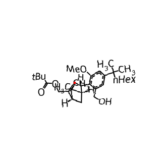 CCCCCCC(C)(C)c1cc(CO)c([C@H]2C=C(COC(=O)C(C)(C)C)[C@H]3C[C@@H]2C3(C)C)c(OC)c1